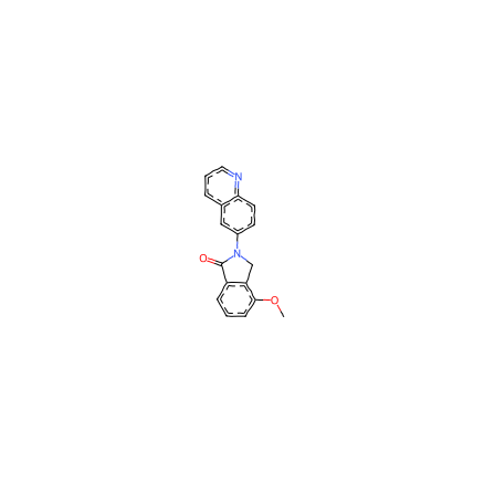 COc1cccc2c1CN(c1ccc3ncccc3c1)C2=O